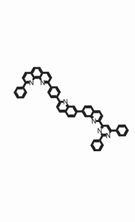 c1ccc(-c2cc(-c3ccc4ccc(-c5ccc6ccc(-c7ccc(-c8ccc9ccc%10ccc(-c%11ccccc%11)nc%10c9n8)cc7)nc6c5)cc4n3)nc(-c3ccccc3)n2)cc1